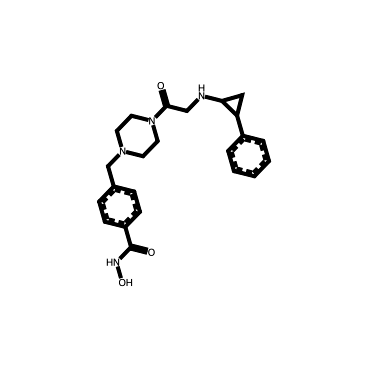 O=C(NO)c1ccc(CN2CCN(C(=O)CNC3CC3c3ccccc3)CC2)cc1